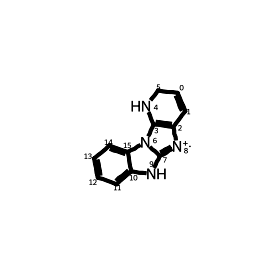 C1=CC2=C(NC1)N1C(=[N+]2)Nc2ccccc21